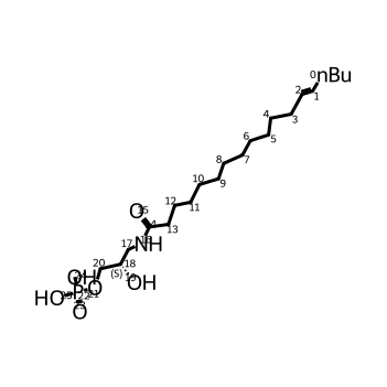 CCCCC=CCCCCCCCCCCCC(=O)NC[C@H](O)COP(=O)(O)O